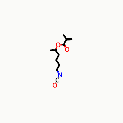 C=C(C)C(=O)OC(C)CCCCN=C=O